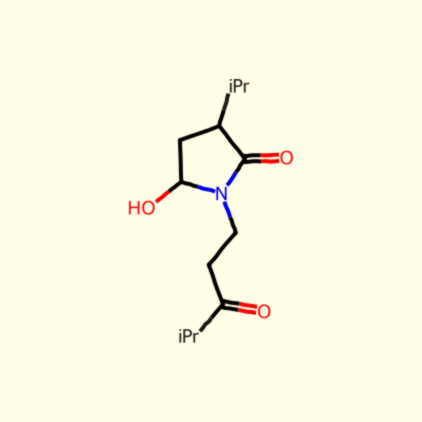 CC(C)C(=O)CCN1C(=O)C(C(C)C)CC1O